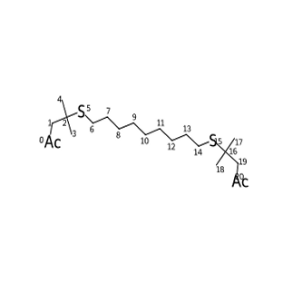 CC(=O)CC(C)(C)SCCCCCCCCCSC(C)(C)CC(C)=O